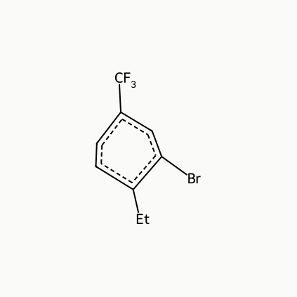 CCc1ccc(C(F)(F)F)cc1Br